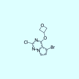 Clc1nc(OC2COC2)c2c(Br)ccn2n1